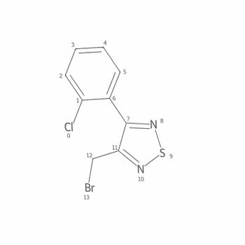 Clc1ccccc1-c1nsnc1CBr